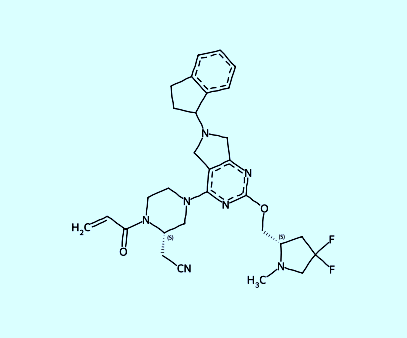 C=CC(=O)N1CCN(c2nc(OC[C@@H]3CC(F)(F)CN3C)nc3c2CN(C2CCc4ccccc42)C3)C[C@@H]1CC#N